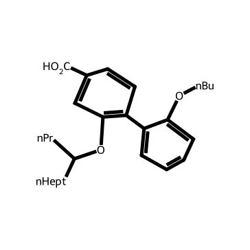 CCCCCCCC(CCC)Oc1cc(C(=O)O)ccc1-c1ccccc1OCCCC